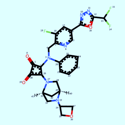 O=c1c(N(Cc2ncc(-c3nnc(C(F)F)o3)cc2F)c2ccccc2)c(N2C[C@@H]3C[C@H]2CN3C2COC2)c1=O